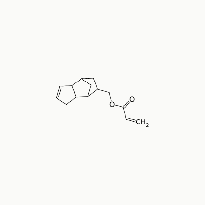 C=CC(=O)OCC1CC2CC1C1CC=CC21